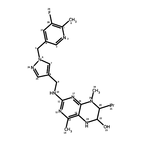 Cc1ncc(Cn2cc(CNc3nc(C)c4c(n3)N(C)C(C(C)C)C(O)N4)cn2)cc1F